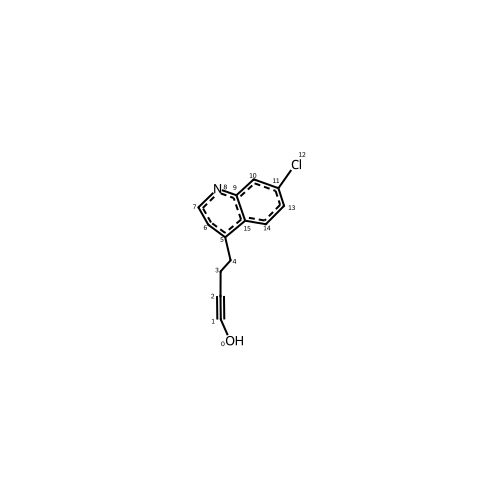 OC#CCCc1ccnc2cc(Cl)ccc12